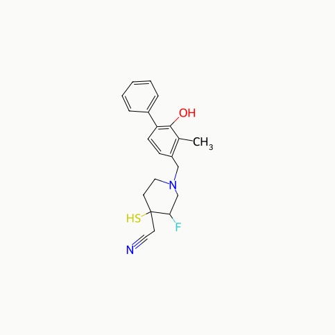 Cc1c(CN2CCC(S)(CC#N)C(F)C2)ccc(-c2ccccc2)c1O